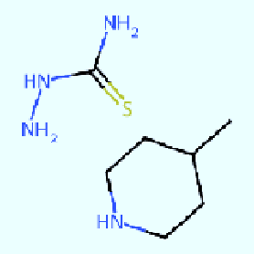 CC1CCNCC1.NNC(N)=S